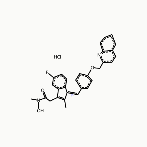 CC1=C(CC(=O)N(C)O)c2cc(F)ccc2/C1=C\c1ccc(OCc2ccc3ccccc3n2)cc1.Cl